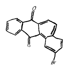 O=C1c2ccccc2C(=O)c2c1ccc1ccc(Br)cc21